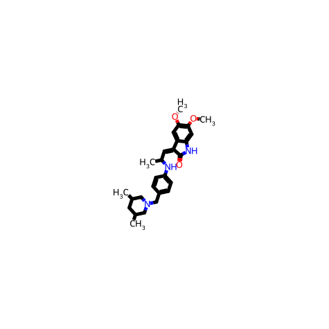 COc1cc2c(cc1OC)C(=CC(C)Nc1ccc(CN3CC(C)CC(C)C3)cc1)C(=O)N2